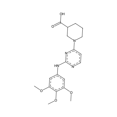 COc1cc(Nc2nccc(N3CCCC(C(=O)O)C3)n2)cc(OC)c1OC